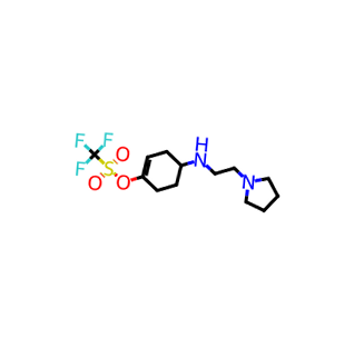 O=S(=O)(OC1=CCC(NCCN2CCCC2)CC1)C(F)(F)F